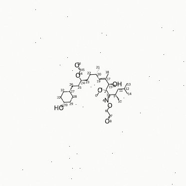 CO[C@@H](/C(=N/OCC=O)[C@H](C)CC(C)C)[C@H](O)/C(C)=C/[C@@H](C)CC[C@@H](CC[C@H]1CC[C@H](O)CC1)OC=O